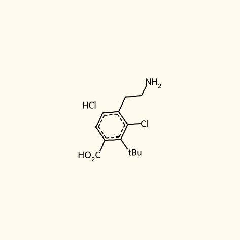 CC(C)(C)c1c(C(=O)O)ccc(CCN)c1Cl.Cl